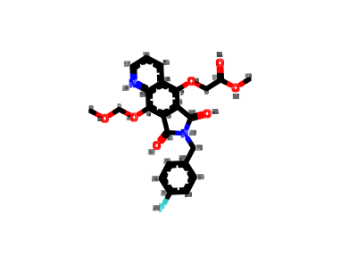 COCOc1c2c(c(OCC(=O)OC)c3cccnc13)C(=O)N(Cc1ccc(F)cc1)C2=O